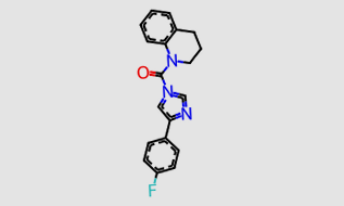 O=C(N1CCCc2ccccc21)n1cnc(-c2ccc(F)cc2)c1